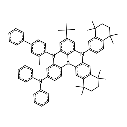 Cc1cc(-c2ccccc2)ccc1N1c2cc(N(c3ccccc3)c3ccccc3)ccc2B2c3cc4c(cc3N(c3ccc5c(c3)C(C)(C)CCC5(C)C)c3cc(C(C)(C)C)cc1c32)C(C)(C)CCC4(C)C